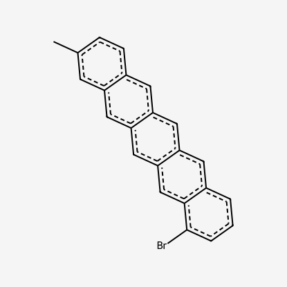 Cc1ccc2cc3cc4cc5cccc(Br)c5cc4cc3cc2c1